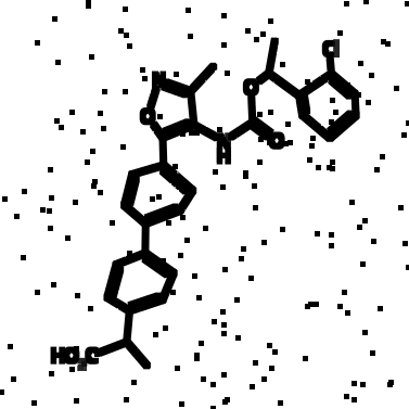 Cc1noc(-c2ccc(-c3ccc(C(C)C(=O)O)cc3)cc2)c1NC(=O)OC(C)c1ccccc1Cl